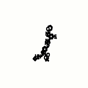 CSc1cc(-c2cn(Cc3ccc4cc(CNCC5CCC5)n(C(=O)OC(C)(C)C)c4c3)nn2)c2cnn(C3CCCCO3)c2c1